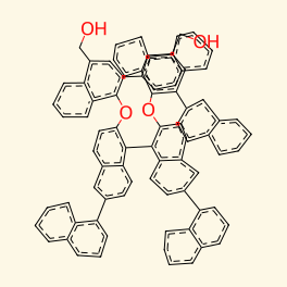 OCc1cc(-c2ccc3ccccc3c2)c(Oc2ccc3cc(-c4cccc5ccccc45)ccc3c2-c2c(Oc3c(-c4ccc5ccccc5c4)cc(CO)c4ccccc34)ccc3cc(-c4cccc5ccccc45)ccc23)c2ccccc12